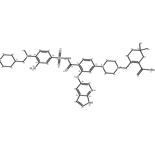 C=C(CCCC)C1=C(CN2CCN(c3ccc(C(=O)NS(=O)(=O)c4ccc(N(C)CC5CCOCC5)c(N)c4)c(Oc4cnc5[nH]ccc5c4)c3)CC2)CCC(C)(C)C1